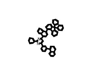 c1ccc(-c2nc(-c3cccc(-c4cccc5ccccc45)c3)cc(-c3ccc(-c4cccc5c4-c4ccccc4C5(c4ccccc4)c4ccccc4)c4ccccc34)n2)cc1